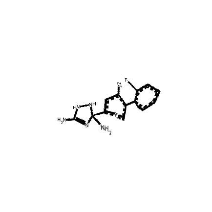 NC1=NC(N)(c2ccc(-c3ccccc3F)c(Cl)c2)NN1